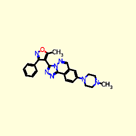 Cc1onc(-c2ccccc2)c1-c1nnc2c3ccc(N4CCN(C)CC4)cc3cnn12